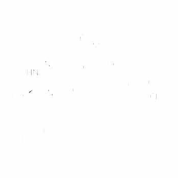 COCCN1C(=O)c2c(OC(=O)Oc3ccccc3C(=O)OC)c(=O)ccn2N[C@@H]1C